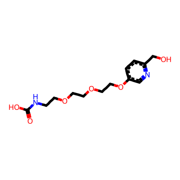 O=C(O)NCCOCCOCCOc1ccc(CO)nc1